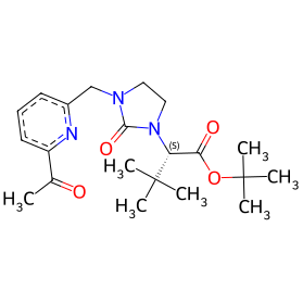 CC(=O)c1cccc(CN2CCN([C@H](C(=O)OC(C)(C)C)C(C)(C)C)C2=O)n1